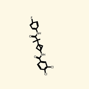 CC(C)(C(=O)Nc1ccc(F)cc1)C12CC(NC(=O)c3ccc(Cl)c(Cl)c3)(C1)C2